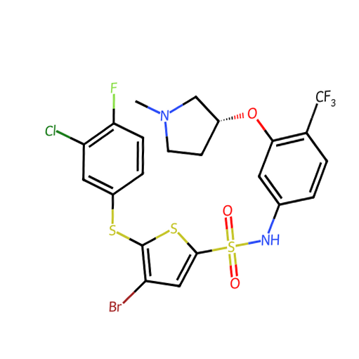 CN1CC[C@@H](Oc2cc(NS(=O)(=O)c3cc(Br)c(Sc4ccc(F)c(Cl)c4)s3)ccc2C(F)(F)F)C1